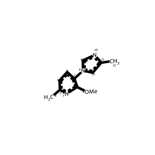 COc1nc(C)ccc1-n1cnc(C)c1